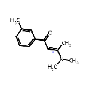 C/C(=C\C(=O)c1cccc(C)c1)N(C)C